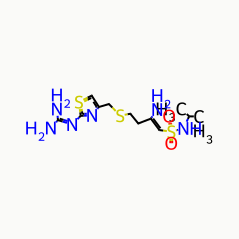 CC(C)NS(=O)(=O)/C=C(\N)CCSCc1csc(N=C(N)N)n1